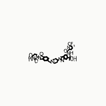 CC(C)(O)c1cc2nn(C3CCN(Cc4ccc5c(c4)CN(N4CCC(=O)NC4=O)C5=O)CC3)cc2cc1NC(=O)c1cccc(C(F)(F)F)n1